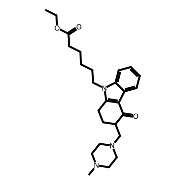 CCOC(=O)CCCCCn1c2c(c3ccccc31)C(=O)C(CN1CCN(C)CC1)CC2